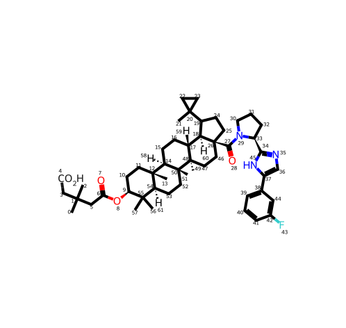 CC(C)(CC(=O)O)CC(=O)O[C@H]1CC[C@]2(C)[C@H]3CC[C@@H]4[C@H]5C(C6(C)CC6)CC[C@]5(C(=O)N5CCC[C@H]5c5ncc(-c6cccc(F)c6)[nH]5)CC[C@@]4(C)[C@]3(C)CC[C@H]2C1(C)C